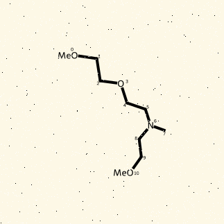 COCCOCCN(C)CCOC